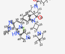 CO[C@H]1C[C@@H](C(=O)N2CCC3(CC2)C(=O)N([C@H]2C[C@@H](N4CCC(C)(C)C4)C2)c2cc(-c4cc5ncn(C(C)C)c5c(Nc5ccncc5F)n4)ccc23)C1